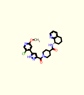 COc1cc(-c2cc(C(=O)N3CCC(C(=O)N[C@H]4CCCc5cccnc54)CC3)n[nH]2)c(Cl)cn1